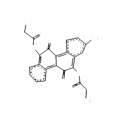 CCC(=O)OC1=c2ccccc2=C2C(=O)C(OC(=O)CC)=c3cc(C)ccc3=C2C1=O